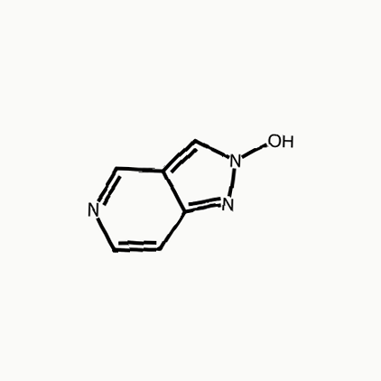 On1cc2cnccc2n1